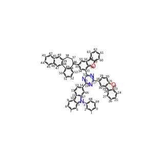 c1ccc(-n2c3ccccc3c3ccc(-c4nc(-c5ccc6oc7ccccc7c6c5)nc(-c5cc([C@@H]6CCc7cc8ccccc8cc7-c7ccccc76)cc6c5oc5ccccc56)n4)cc32)cc1